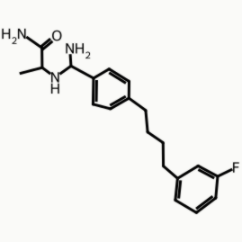 CC(NC(N)c1ccc(CCCCc2cccc(F)c2)cc1)C(N)=O